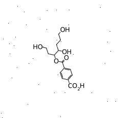 O=C(O)c1ccc(C(=O)OC(CCO)C(O)CCCO)cc1